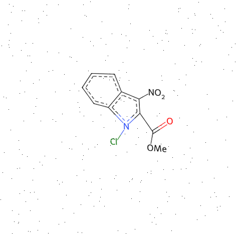 COC(=O)c1c([N+](=O)[O-])c2ccccc2n1Cl